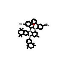 Cc1cc2c3c(c1)N(c1ccc(C(C)(C)C)cc1-c1ccccc1)c1oc4ccc(C(C)(C)C)cc4c1B3c1cc3c(cc1N2c1ccc2c(c1)C(C)(C)CCC2(C)C)C(C)(C)CCC3(C)C